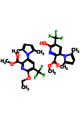 CCOc1nc(C(=O)OC)c(-n2c(C)ccc2C)cc1C(F)(F)F.COC(=O)c1nc(O)c(C(F)(F)F)cc1-n1c(C)ccc1C